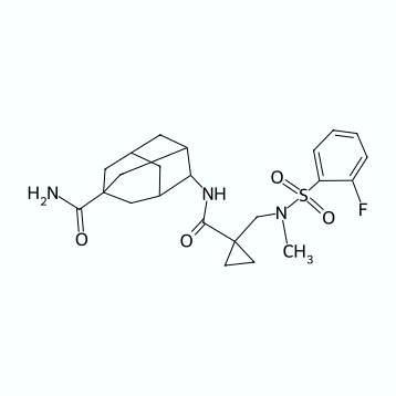 CN(CC1(C(=O)NC2C3CC4CC2CC(C(N)=O)(C4)C3)CC1)S(=O)(=O)c1ccccc1F